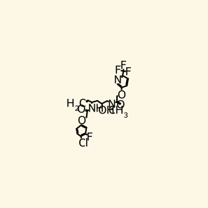 C=CC(C[C@H](O)CN(C)C(=O)COc1ccc(C(F)(F)F)nc1)NC(=O)COc1ccc(Cl)c(F)c1